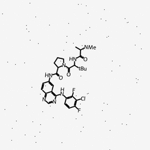 CNC(C)C(=O)NC(C(=O)N1CCCC1C(=O)Nc1ccc2ncnc(Nc3ccc(F)c(Cl)c3F)c2c1)C(C)(C)C